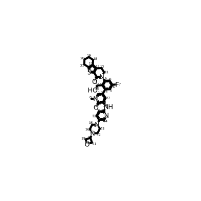 Cn1cc(-c2cc(F)cc(N3CCc4c(sc5c4CCCC5)C3=O)c2CO)cc(Nc2ccc(N3CCN(C4COC4)CC3)cn2)c1=O